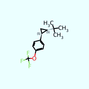 CC(C)(C)[C@H]1C[C@@H]1c1ccc(OC(F)(F)F)cc1